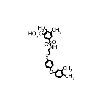 Cc1ccc(Oc2ccc(SCCNS(=O)(=O)c3cc(C)c(C)c(C(=O)O)c3)cc2)cc1C